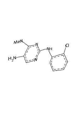 CNc1nc(Nc2ccccc2Cl)ncc1N